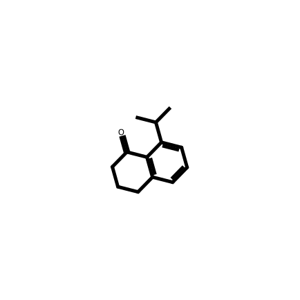 CC(C)c1cccc2c1C(=O)CCC2